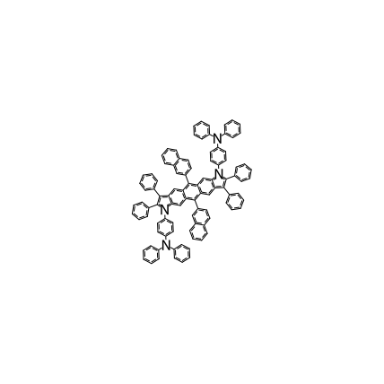 c1ccc(-c2c(-c3ccccc3)n(-c3ccc(N(c4ccccc4)c4ccccc4)cc3)c3cc4c(-c5ccc6ccccc6c5)c5cc6c(-c7ccccc7)c(-c7ccccc7)n(-c7ccc(N(c8ccccc8)c8ccccc8)cc7)c6cc5c(-c5ccc6ccccc6c5)c4cc23)cc1